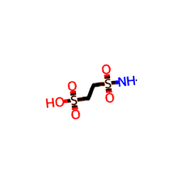 [NH]S(=O)(=O)CCS(=O)(=O)O